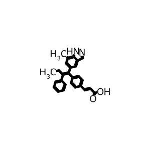 CC/C(=C(/c1ccc(/C=C/C(=O)O)cc1)c1cc(C)c2[nH]ncc2c1)c1ccccc1